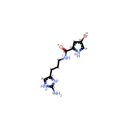 Nc1nc(CCCNC(=O)c2cc(Br)c[nH]2)c[nH]1